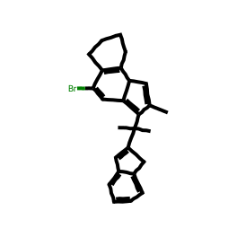 CC1=CC2C(=C1C(C)(C)C1=Cc3ccccc3C1)C=C(Br)C1=C2CCCC1